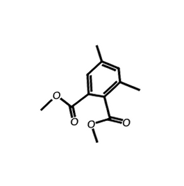 COC(=O)c1cc(C)cc(C)c1C(=O)OC